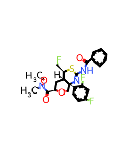 CON(C)C(=O)[C@H]1C[C@H]2[C@@H](CF)SC(NC(=O)c3ccccc3)=N[C@@]2(c2ccc(F)cc2F)CO1